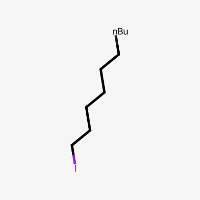 [CH2]CCCCCCCCCI